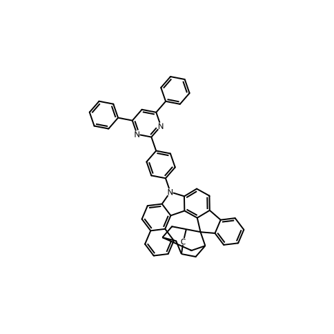 c1ccc(-c2cc(-c3ccccc3)nc(-c3ccc(-n4c5ccc6c(c5c5c7ccccc7ccc54)C4(c5ccccc5-6)C5CC6CC(C5)CC4C6)cc3)n2)cc1